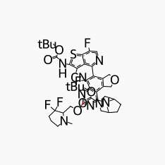 CN1CCCC(F)(F)C1COc1nc(N2C3CCC2CN(C(=O)OC(C)(C)C)C3)c2c3c(c(-c4ncc(F)c5sc(NC(=O)OC(C)(C)C)c(C#N)c45)c(F)c2n1)COC3